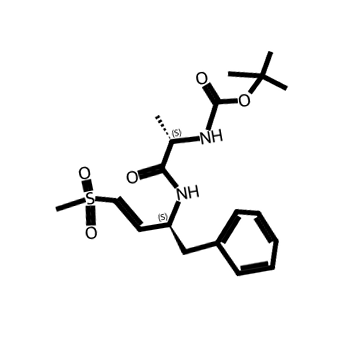 C[C@H](NC(=O)OC(C)(C)C)C(=O)N[C@H](C=CS(C)(=O)=O)Cc1ccccc1